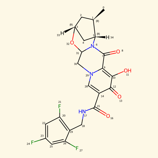 C[C@@H]1C[C@@H]2C[C@H]1N1C(=O)c3c(O)c(=O)c(C(=O)NCc4c(F)cc(F)cc4F)cn3CC1O2